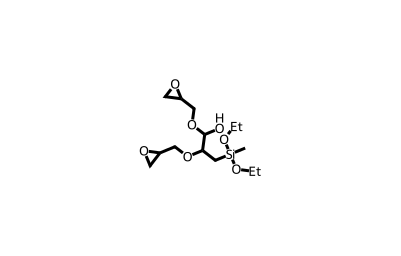 CCO[Si](C)(CC(OCC1CO1)C(O)OCC1CO1)OCC